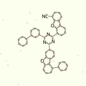 N#Cc1cccc2c1oc1c(-c3nc(-c4cccc(-c5ccccc5)c4)nc(-c4ccc5c(c4)oc4cccc(-c6ccccc6)c45)n3)cccc12